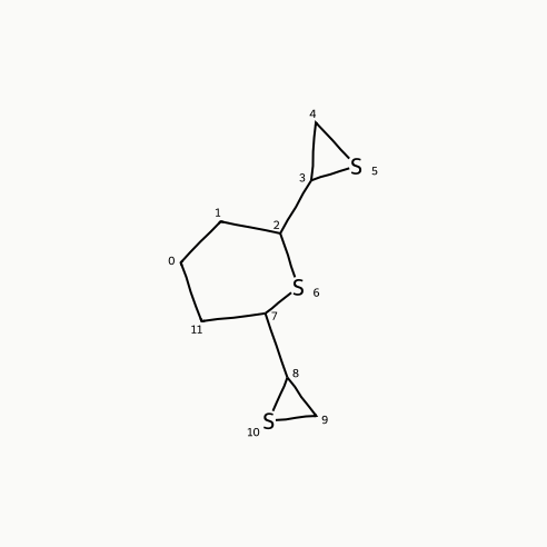 C1CC(C2CS2)SC(C2CS2)C1